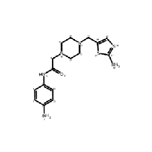 Nc1ccc(NC(=O)CN2CCN(Cc3cnc(N)s3)CC2)cc1